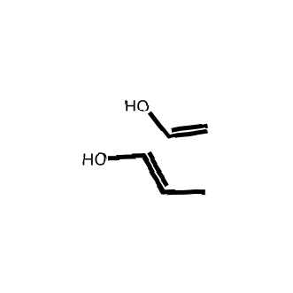 C=CO.CC=CO